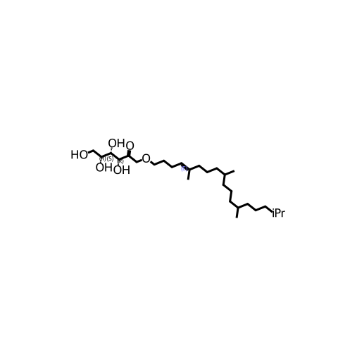 C/C(=C\CCCOCC(=O)[C@H](O)[C@@H](O)[C@H](O)CO)CCCC(C)CCCC(C)CCCC(C)C